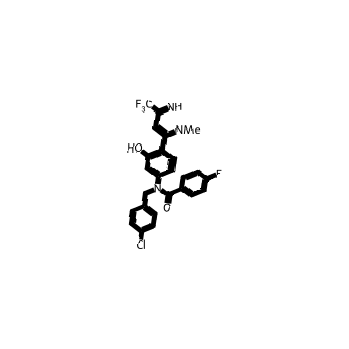 CN/C(=C\C(=N)C(F)(F)F)c1ccc(N(Cc2ccc(Cl)cc2)C(=O)c2ccc(F)cc2)cc1O